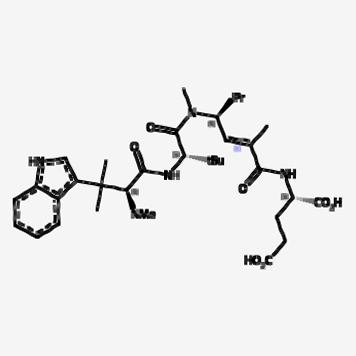 CN[C@H](C(=O)N[C@H](C(=O)N(C)[C@H](/C=C(\C)C(=O)N[C@@H](CCC(=O)O)C(=O)O)C(C)C)C(C)(C)C)C(C)(C)c1c[nH]c2ccccc12